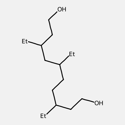 CCC(CCO)CCC(CC)CC(CC)CCO